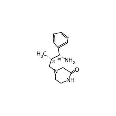 C[C@@H](CN1CCNC(=O)C1)[C@@H](N)c1ccccc1